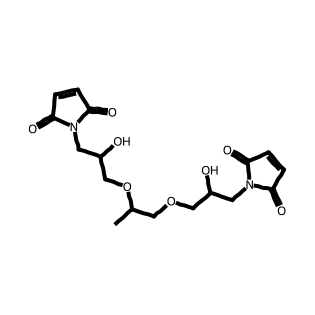 CC(COCC(O)CN1C(=O)C=CC1=O)OCC(O)CN1C(=O)C=CC1=O